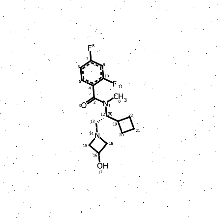 CN(C(=O)c1ccc(F)cc1F)[C@@H](CN1CC(O)C1)C1CCC1